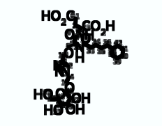 O=C(O)CC[C@@H](NC(=O)[C@H](COCc1cn(CCO[C@@H]2OC(CO)[C@@H](O)C(O)C2O)nn1)NC(=O)CCCCC1CCCCC1)C(=O)O